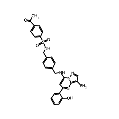 Bc1cnn2c(NCc3ccc(CNS(=O)(=O)c4ccc(C(C)=O)cc4)cc3)cc(-c3ccccc3O)nc12